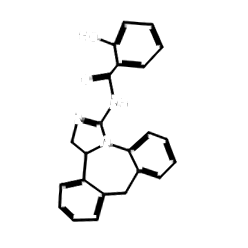 O=C(NC1=NCC2c3ccccc3Cc3ccccc3N12)c1ccccc1O